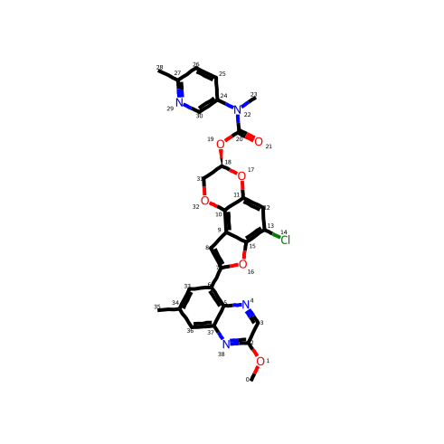 COc1cnc2c(-c3cc4c5c(cc(Cl)c4o3)O[C@H](OC(=O)N(C)c3ccc(C)nc3)CO5)cc(C)cc2n1